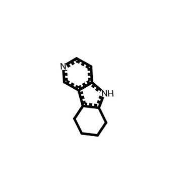 c1cc2[nH]c3c(c2cn1)CCCC3